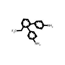 Nc1ccc(-c2cccc(CC(F)(F)F)c2-c2ccc(N)cc2)cc1